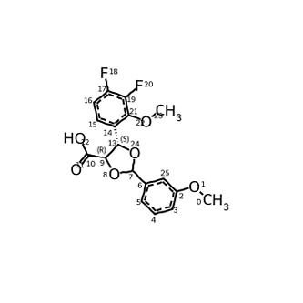 COc1cccc(C2O[C@@H](C(=O)O)[C@H](c3ccc(F)c(F)c3OC)O2)c1